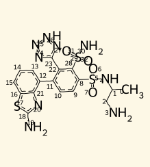 CC(CN)NS(=O)(=O)c1ccc(-c2cccc3sc(N)nc23)c(-c2nnn[nH]2)c1S(N)(=O)=O